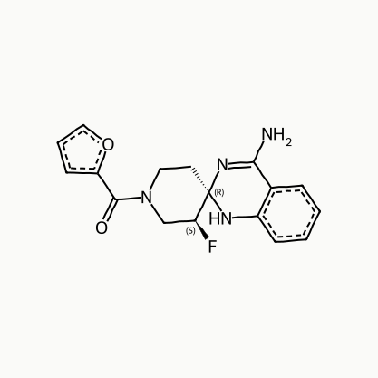 NC1=N[C@@]2(CCN(C(=O)c3ccco3)C[C@@H]2F)Nc2ccccc21